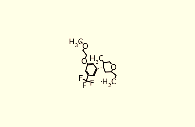 [CH2]CC1C[C@H](c2cc(OCCOC)cc(C(F)(F)F)c2)[C@@H](C)CO1